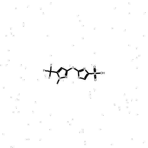 Cn1nc(Oc2nc(S(=O)(=O)O)cs2)cc1C(F)(F)F